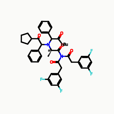 CCCCC(=O)C(c1ccccc1)N(C(C(=O)C1CCCC1)c1ccccc1)[C@@H](C)C(=O)N(C(=O)Cc1cc(F)cc(F)c1)C(=O)Cc1cc(F)cc(F)c1